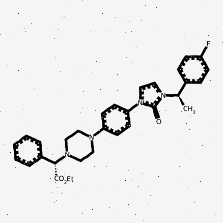 CCOC(=O)[C@H](c1ccccc1)N1CCN(c2ccc(-n3ccn([C@H](C)c4ccc(F)cc4)c3=O)cc2)CC1